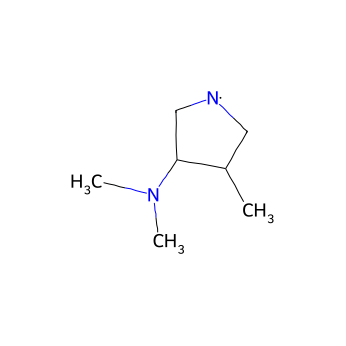 CC1C[N]CC1N(C)C